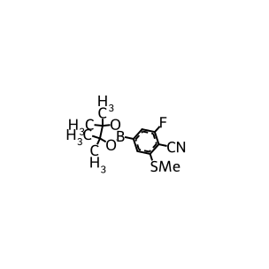 CSc1cc(B2OC(C)(C)C(C)(C)O2)cc(F)c1C#N